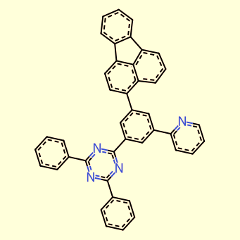 c1ccc(-c2nc(-c3ccccc3)nc(-c3cc(-c4ccccn4)cc(-c4ccc5c6c(cccc46)-c4ccccc4-5)c3)n2)cc1